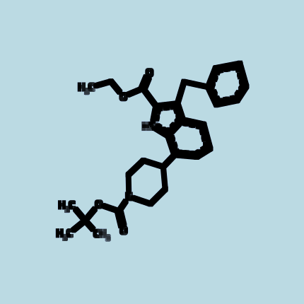 CCOC(=O)c1[nH]c2c(C3CCN(C(=O)OC(C)(C)C)CC3)cccc2c1Cc1ccccc1